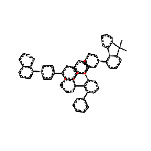 CC1(C)c2ccccc2-c2c(-c3cccc(N(c4ccc(-c5ccc(-c6cccc7ccccc67)cc5)cc4)c4cccc(-c5ccccc5)c4-c4ccccc4-c4ccccc4)c3)cccc21